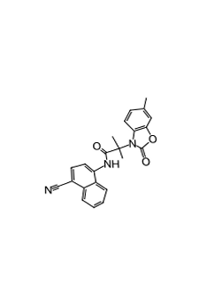 Cc1ccc2c(c1)oc(=O)n2C(C)(C)C(=O)Nc1ccc(C#N)c2ccccc12